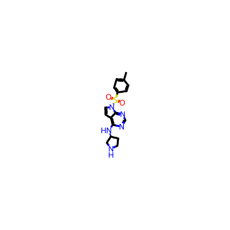 Cc1ccc(S(=O)(=O)n2ccc3c(N[C@H]4CCNC4)ncnc32)cc1